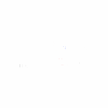 Cc1ccc(S(=O)(=O)n2ccc(Cl)c2C(C)O)cc1